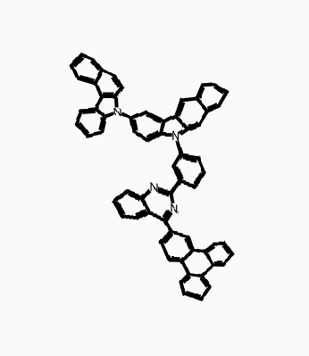 c1cc(-c2nc(-c3ccc4c5ccccc5c5ccccc5c4c3)c3ccccc3n2)cc(-n2c3ccc(-n4c5ccccc5c5c6ccccc6ccc54)cc3c3cc4ccccc4cc32)c1